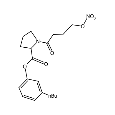 CCCCc1cccc(OC(=O)C2CCCN2C(=O)CCCO[N+](=O)[O-])c1